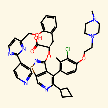 Cc1c(-c2c(C3CCC3)ncc3snc(O[C@H](Cc4ccccc4OCc4ccnc(-c5ccncc5)n4)C(=O)O)c23)ccc(OCCN2CCN(C)CC2)c1Cl